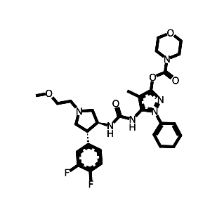 COCCN1C[C@@H](NC(=O)Nc2c(C)c(OC(=O)N3CCOCC3)nn2C2=CCCC=C2)[C@H](c2ccc(F)c(F)c2)C1